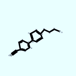 N#Cc1ccc(-c2ccc(CCCF)cc2)cc1